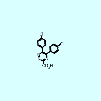 O=C(O)c1nnc(-c2ccc(Cl)cc2)c(-c2ccc(Cl)cc2)n1